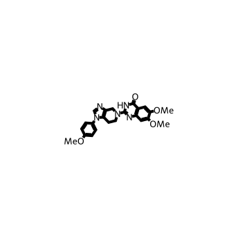 COc1ccc(-n2cnc3c2CCN(c2nc4cc(OC)c(OC)cc4c(=O)[nH]2)C3)cc1